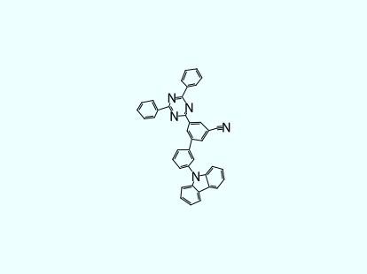 N#Cc1cc(-c2cccc(-n3c4ccccc4c4ccccc43)c2)cc(-c2nc(-c3ccccc3)nc(-c3ccccc3)n2)c1